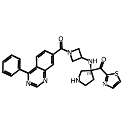 O=C(c1ccc2c(-c3ccccc3)ncnc2c1)N1CC(N[C@@]2(C(=O)c3nccs3)CCNC2)C1